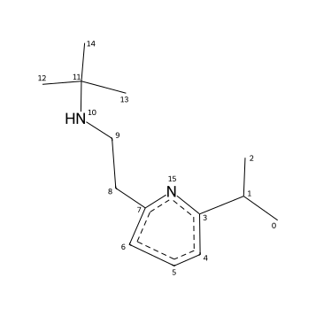 CC(C)c1cccc(CCNC(C)(C)C)n1